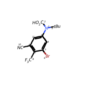 CC(C)(C)N(C(=O)O)c1cc(Br)c(C(F)(F)F)c(C#N)c1